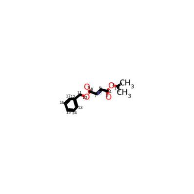 CC(C)OC(=O)/C=C/C(=O)OCc1ccccc1